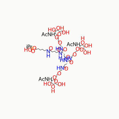 CC(=O)NC1C(OCCOCCNC(=O)CC[C@H](NC(=O)CC[C@H](NC(=O)CCCC(=O)NCCCCCCOP(=O)(O)C(C)C)C(=O)NCCOCCOC2OC(CO)C(O)C(O)C2NC(C)=O)C(=O)NCCOCCOC2OC(CO)C(O)C(O)C2NC(C)=O)OC(CO)C(O)C1O